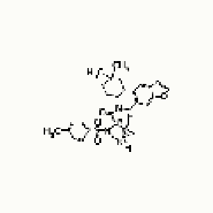 Cc1ccc(S(=O)(=O)N2C[C@H]3C[C@H]3[C@@H]2C(=O)N(Cc2ccc3ccoc3c2)C2CCC(C)(C)CC2)cc1